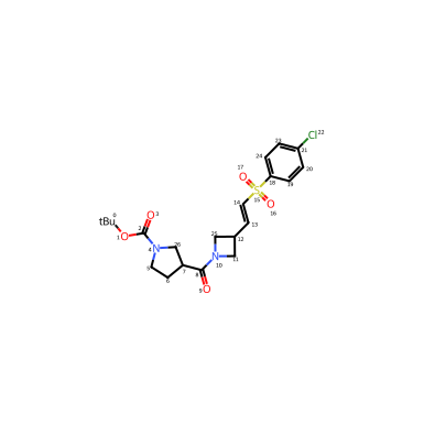 CC(C)(C)OC(=O)N1CCC(C(=O)N2CC(C=CS(=O)(=O)c3ccc(Cl)cc3)C2)C1